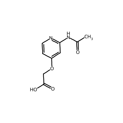 CC(=O)Nc1cc(OCC(=O)O)ccn1